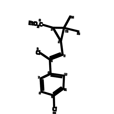 CCOC(=O)C1C(C=C(Cl)c2ccc(Cl)cc2)C1(C)C